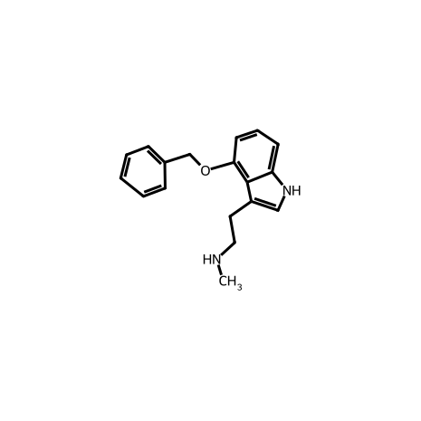 CNCCc1c[nH]c2cccc(OCc3ccccc3)c12